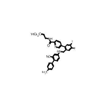 Cc1ccc(-c2ccc(NCc3cc(F)c(F)cc3-c3ccc(C(=O)NCCC(=O)O)nc3)cc2C#N)cc1